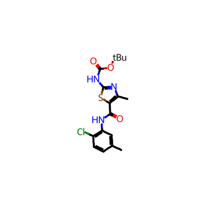 Cc1ccc(Cl)c(NC(=O)c2sc(NC(=O)OC(C)(C)C)nc2C)c1